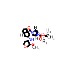 CO[C@@H]1COCC[C@@H]1N[C@@H]1C[C@H]2CCC[C@@]2(C(=O)N2C[C@@H]3C[C@H]2CN3C(=O)OC(C)(C)C)C1